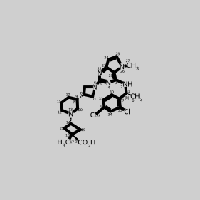 C[C@@H](Nc1nc(N2CC([C@H]3CCCN([C@H]4C[C@](C)(C(=O)O)C4)C3)C2)nc2ccn(C)c12)c1ccc(Cl)cc1Cl